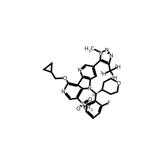 [2H]C([2H])([2H])c1nnn(C)c1-c1cnc2c3c(OCC4CC4)ncc(S(C)(=O)=O)c3n([C@H](c3ccccc3F)C3CCOCC3)c2c1